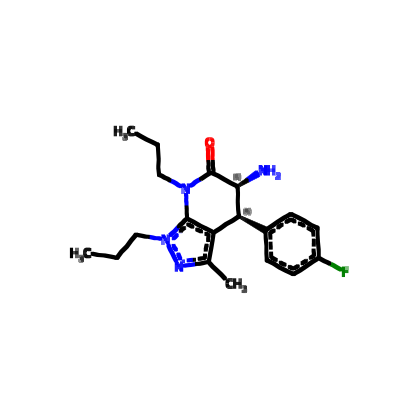 CCCN1C(=O)[C@@H](N)[C@@H](c2ccc(F)cc2)c2c(C)nn(CCC)c21